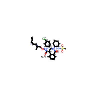 C=C/C=C\C=C(/C)CONC(=O)[C@@H]1c2c(OC)cccc2C(=O)N(C2CCCC[C@@H]2NS(C)(=O)=O)[C@H]1c1ccc(Cl)cc1